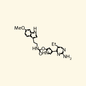 CCc1cnc(N)nc1-c1c[nH]c(OC(=O)NCCc2c[nH]c3cc(OC)ccc23)c1